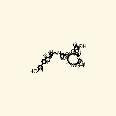 CC[C@H]1OC(=O)[C@H](C)[C@@H](O[C@H]2C[C@@](C)(OC)[C@@H](O)[C@H](C)O2)[C@H](C)[C@@H](O[C@H]2C[C@@H](N(C)CCc3cn([C@H](CF)[C@H](OC)c4ccc(-c5ccc(CO)nc5)cc4)nn3)C[C@@H](C)O2)[C@](C)(O)C[C@@H](C)CN(C)[C@H](C)[C@@H](O)[C@]1(C)O